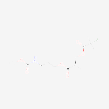 CC(COC(=O)C(C)(C)Br)C(=O)OCCCNC(=O)OC(C)(C)C